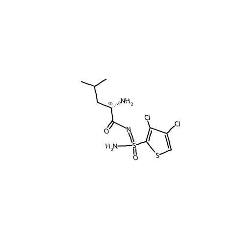 CC(C)C[C@H](N)C(=O)N=S(N)(=O)c1scc(Cl)c1Cl